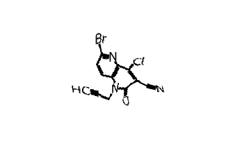 C#CCn1c(=O)c(C#N)c(Cl)c2nc(Br)ccc21